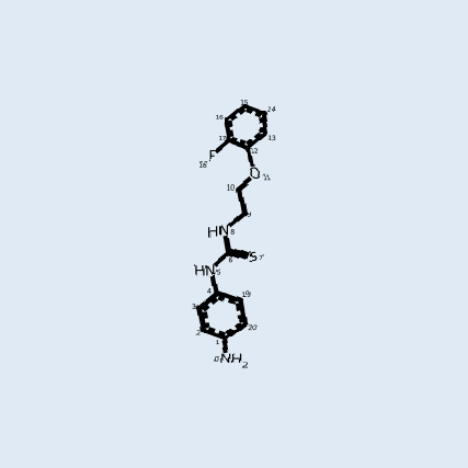 Nc1ccc(NC(=S)NCCOc2ccccc2F)cc1